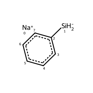 [Na+].[SiH2-]c1ccccc1